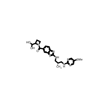 CSc1cnc(NC[C@H](C)CNc2nc3ccc(C(=O)N4CCC4C(O)O)cc3s2)nc1